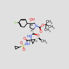 C=C[C@@H]1C[C@]1(NC(=O)[C@@H]1C[C@@](O)(C2C=CC(F)=CC2)CN1C(=O)OC(C)(C)C)C(=O)NS(=O)(=O)C1CC1